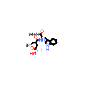 CNC(=O)[C@H](Cc1c[nH]c2ccccc12)NC(=O)C(CC(=O)NO)CC(C)C